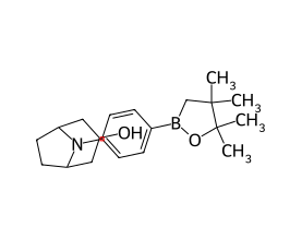 CC1(C)CB(c2ccc(N3C4CCC3CC(O)C4)cc2)OC1(C)C